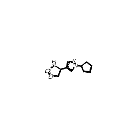 B1OOCC1c1cnn(C2CCCC2)c1